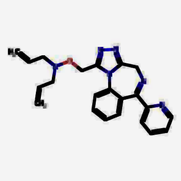 C=CCN(CC=C)OCc1nnc2n1-c1ccccc1C(c1ccccn1)=NC2